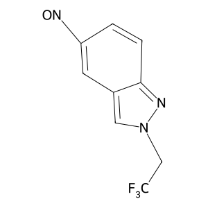 O=Nc1ccc2nn(CC(F)(F)F)cc2c1